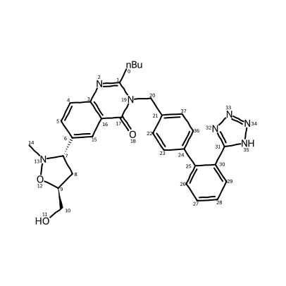 CCCCc1nc2ccc([C@@H]3C[C@@H](CO)ON3C)cc2c(=O)n1Cc1ccc(-c2ccccc2-c2nnn[nH]2)cc1